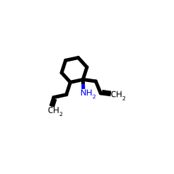 C=CCC1CCCCC1(N)CC=C